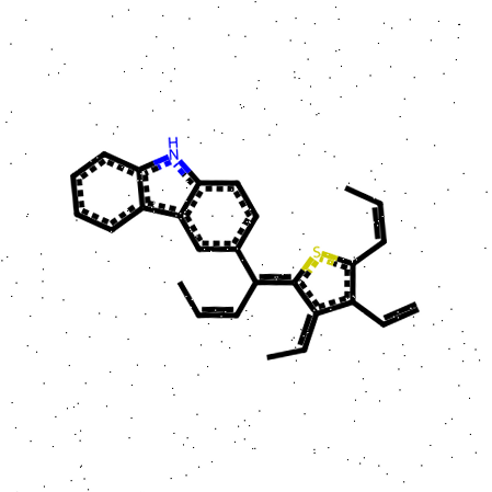 C=Cc1c(/C=C\C)sc(=C(/C=C\C)c2ccc3[nH]c4ccccc4c3c2)/c1=C\C